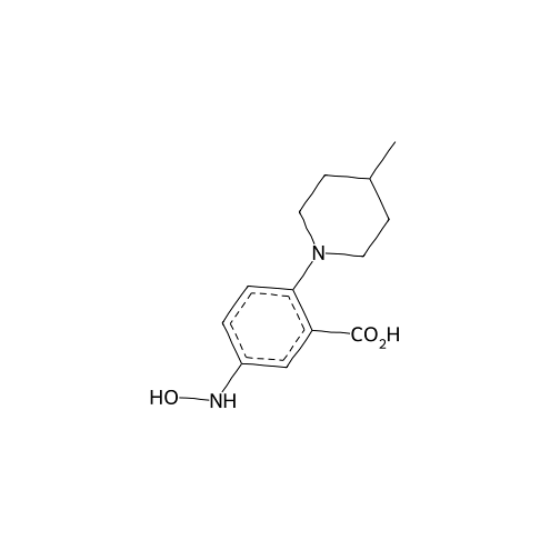 CC1CCN(c2ccc(NO)cc2C(=O)O)CC1